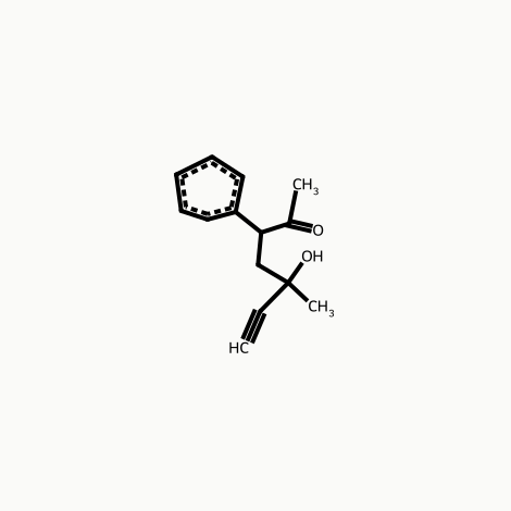 C#CC(C)(O)CC(C(C)=O)c1ccccc1